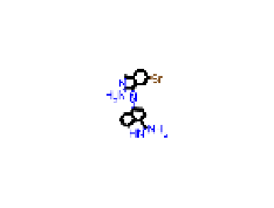 N=C(N)c1ccc(/N=N/c2c(N)ncc3ccc(Br)cc23)c2ccccc12